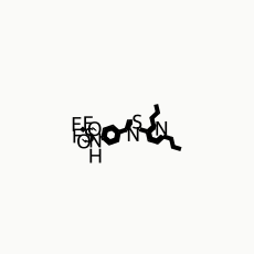 CCCc1ccc(-c2nc(-c3ccc(NS(=O)(=O)C(F)(F)F)cc3)cs2)c(CCC)n1